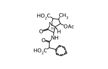 CC(=O)OC1C(C)C(C(=O)O)N2C(=O)C(NC(=O)C(C(=O)O)c3ccccc3)[C@@H]12